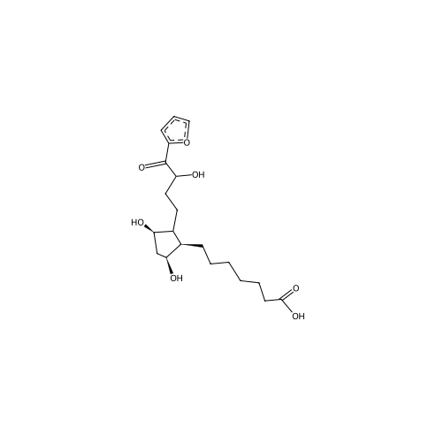 O=C(O)CCCCCC[C@@H]1C(CCC(O)C(=O)c2ccco2)[C@H](O)C[C@@H]1O